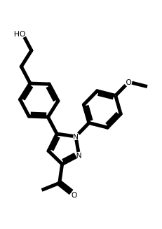 COc1ccc(-n2nc(C(C)=O)cc2-c2ccc(CCO)cc2)cc1